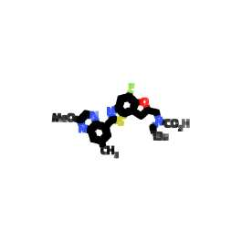 COc1cnc2c(-c3nc4cc(F)c5c(c4s3)CC(CN(CC(C)(C)C)C(=O)O)O5)cc(C)cc2n1